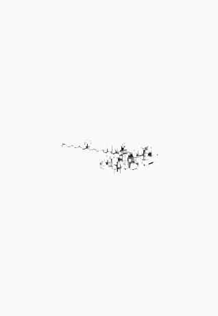 CC#CCOc1ccc(C[C@H](NC(=O)C(/C=C/CCCCCCC(=O)CCCCCCC)[C@@](O)(CC(=O)OCc2oc(=O)oc2C)C(=O)O)C(=O)OCC(=O)OC)cc1